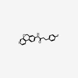 O=C(CCc1ccc(F)cc1)Nc1ccc2c(c1)COc1cnccc1-2